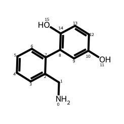 NCc1ccccc1-c1cc(O)ccc1O